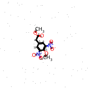 COC(=O)Cc1cc([N+](=O)[O-])c(OC)c([N+](=O)[O-])c1